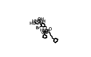 O=C(NCCCCc1ccccc1)[C@H](Cc1ccc(N2CC(O)NS2(O)O)c(Br)c1)NS(=O)(=O)c1ccccc1